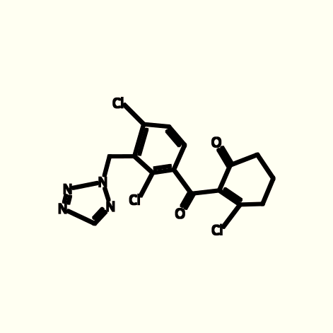 O=C1CCCC(Cl)=C1C(=O)c1ccc(Cl)c(Cn2ncnn2)c1Cl